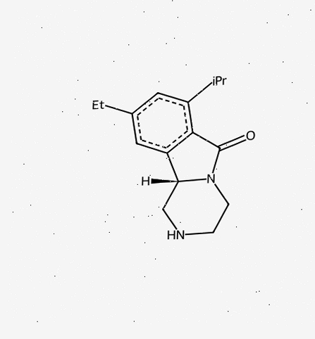 CCc1cc(C(C)C)c2c(c1)[C@H]1CNCCN1C2=O